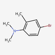 Cc1cc(Br)ccc1N(C)C